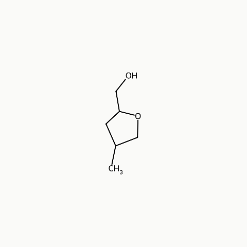 CC1COC(CO)C1